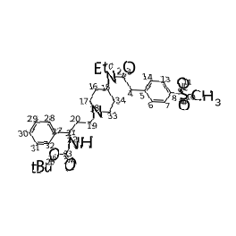 CCN(C(=O)Cc1ccc(S(C)(=O)=O)cc1)C1CCN(CCC(NC(=O)OC(C)(C)C)c2ccccc2)CC1